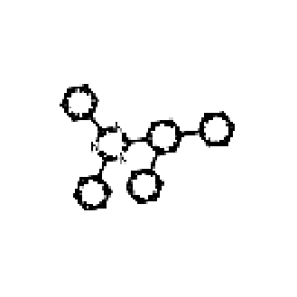 c1ccc(-c2ccc(-c3nc(-c4ccccc4)nc(-c4ccccc4)n3)c(-c3ccccc3)c2)cc1